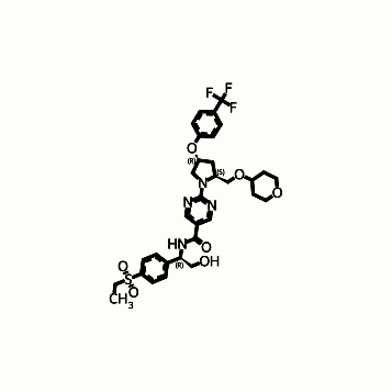 CCS(=O)(=O)c1ccc([C@H](CO)NC(=O)c2cnc(N3C[C@H](Oc4ccc(C(F)(F)F)cc4)C[C@H]3COC3CCOCC3)nc2)cc1